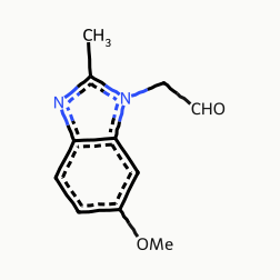 COc1ccc2nc(C)n(CC=O)c2c1